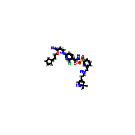 CC1(C)C[C@H](CCNCc2cccc(S(=O)(=O)NC(=O)c3ccc(N/C=C\C(=N)OCCC4CCCC4)nc3Cl)n2)CN1